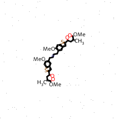 COC(=O)[C@@H](C)CC(=O)c1cc2cc(C/C=C/Cc3cc4cc(C(=O)C[C@H](C)C(=O)OC)sc4cc3OC)c(OC)cc2s1